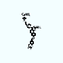 Nc1nc2c(c(N3CCN(CCO[C@H]4C[C@H](C(N)=O)C4)CC3)n1)CCc1cc(OCc3ccc(OC(F)(F)F)cc3)ccc1-2